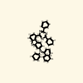 c1ccc(-c2nc(-c3ccccc3)nc(-c3cccc4sc5cc(N(c6ccccc6)c6cccc7ccccc67)ccc5c34)n2)cc1